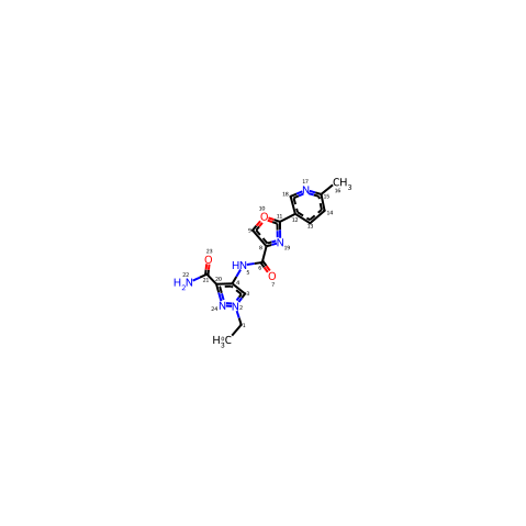 CCn1cc(NC(=O)c2coc(-c3ccc(C)nc3)n2)c(C(N)=O)n1